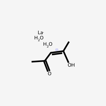 CC(=O)/C=C(/C)O.O.O.[La]